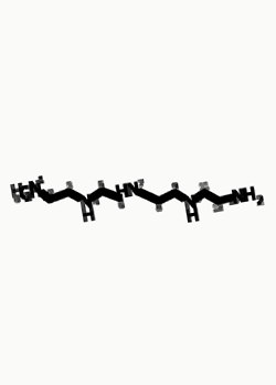 C.NCCNCCNCCNCCN